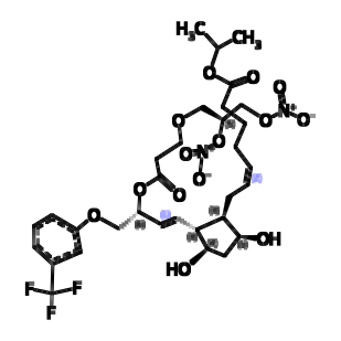 CC(C)OC(=O)CCC/C=C\C[C@@H]1[C@@H](/C=C/[C@H](COc2cccc(C(F)(F)F)c2)OC(=O)CCOC[C@@H](CO[N+](=O)[O-])O[N+](=O)[O-])[C@H](O)C[C@@H]1O